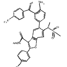 CNC(=O)c1c(-c2ccc(F)cc2)oc2cc(N(C)S(C)(=O)=O)c(-c3ccc(N)c(C(=N)c4ccc(C(F)(F)F)cc4)c3)cc12